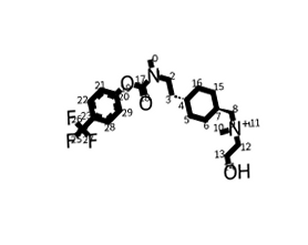 CN(CC[C@H]1CC[C@H](C[N+](C)(C)CCO)CC1)C(=O)Oc1ccc(C(F)(F)F)cc1